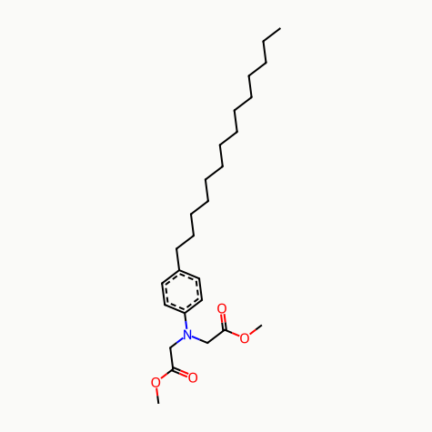 CCCCCCCCCCCCCCc1ccc(N(CC(=O)OC)CC(=O)OC)cc1